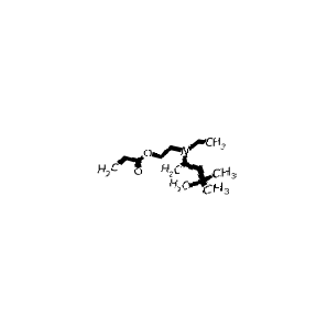 C=CC(=O)OCCN(CC)C(=C)CC(C)(C)C